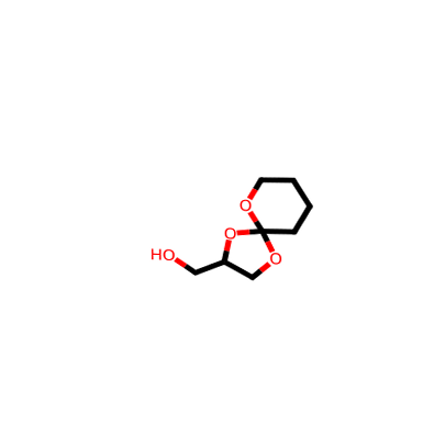 OCC1COC2(CCCCO2)O1